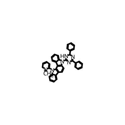 CN1CC=CC=C1n1c2ccccc2c2ccc3c(c4ccccc4n3C3=NC(c4ccccc4)=NC(c4ccccc4)N3)c21